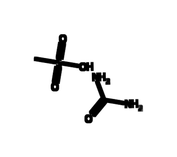 CS(=O)(=O)O.NC(N)=O